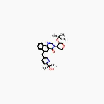 CC(C)(O)c1ccc(Cc2cc3c(=O)n([C@H]4CCOC[C@@H]4O[Si](C)(C)C(C)(C)C)cnc3c3ccccc23)cn1